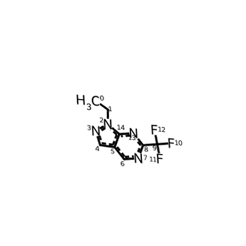 CCn1ncc2cnc(C(F)(F)F)nc21